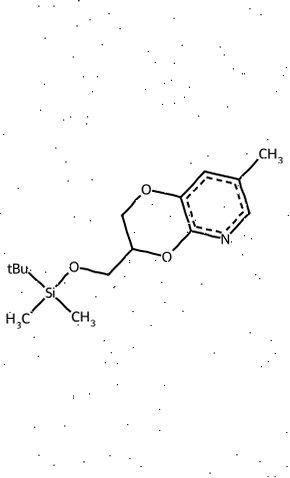 Cc1cnc2c(c1)OCC(CO[Si](C)(C)C(C)(C)C)O2